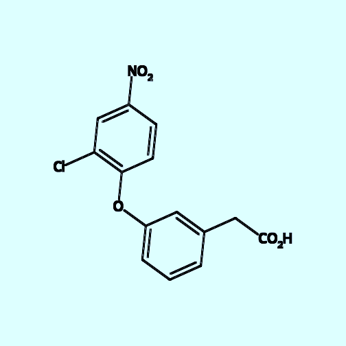 O=C(O)Cc1cccc(Oc2ccc([N+](=O)[O-])cc2Cl)c1